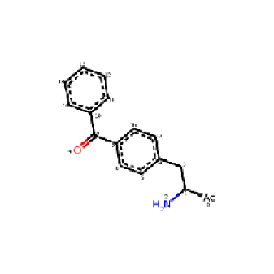 CC(=O)[C@@H](N)Cc1ccc(C(=O)c2ccccc2)cc1